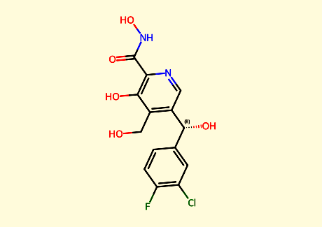 O=C(NO)c1ncc([C@H](O)c2ccc(F)c(Cl)c2)c(CO)c1O